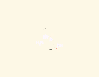 C[C@@H](c1c[nH]c(=O)c2ccccc12)N(CCCN)C(=O)Nc1ccc(F)c(Cl)c1